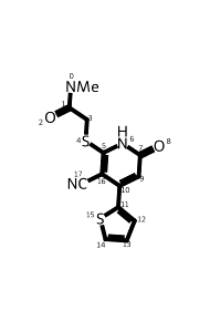 CNC(=O)CSc1[nH]c(=O)cc(-c2cccs2)c1C#N